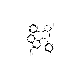 NCc1ccc(CN(CC2CNCC2Cc2ccccc2)c2ccc(Cl)cc2)c2ccccc12